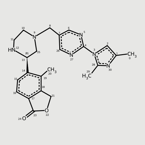 Cc1cn(-c2ncc(CN3CCN[C@H](c4ccc5c(c4C)COC5=O)C3)cn2)c(C)n1